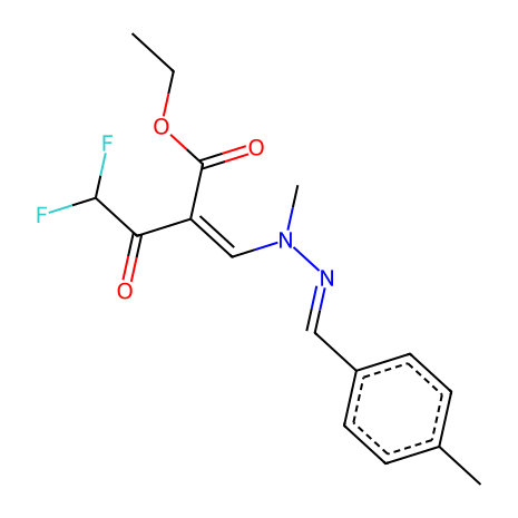 CCOC(=O)C(=CN(C)N=Cc1ccc(C)cc1)C(=O)C(F)F